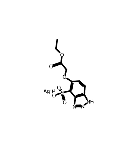 CCOC(=O)COc1ccc2[nH]nnc2c1S(=O)(=O)O.[Ag]